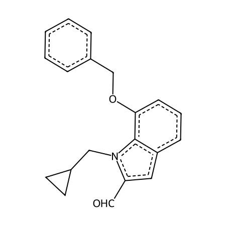 O=Cc1cc2cccc(OCc3ccccc3)c2n1CC1CC1